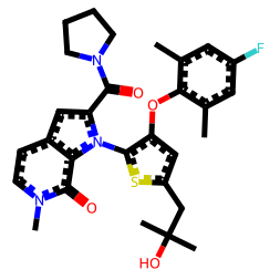 Cc1cc(F)cc(C)c1Oc1cc(CC(C)(C)O)sc1-n1c(C(=O)N2CCCC2)cc2ccn(C)c(=O)c21